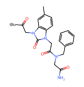 Cc1ccc2c(c1)n(CC(=O)C(C)(C)C)c(=O)n2CC(=O)N(CC(N)=O)Cc1ccccc1